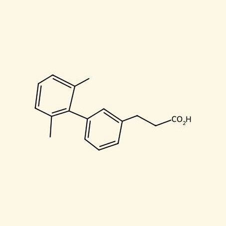 Cc1cccc(C)c1-c1cccc(CCC(=O)O)c1